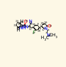 CN(C)CCn1cc(-c2ccc(C[C@@H](C#N)NC(=O)[C@H]3N[C@@H]4CC[C@H]3C4)c(F)c2)ccc1=O